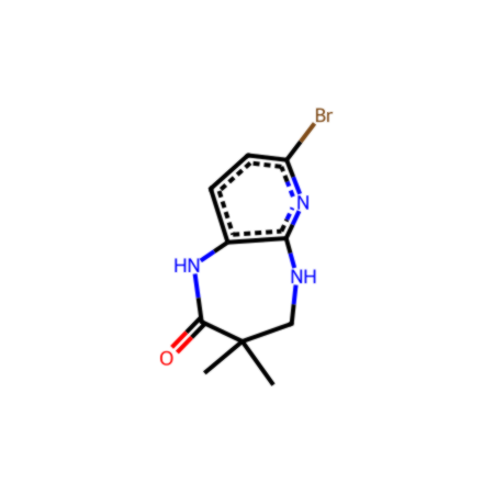 CC1(C)CNc2nc(Br)ccc2NC1=O